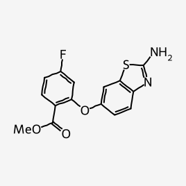 COC(=O)c1ccc(F)cc1Oc1ccc2nc(N)sc2c1